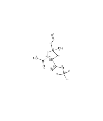 C=CCC1(O)C[C@@H](C(=O)O)N(C(=O)OC(C)(C)C)C1